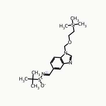 CC(C)(C)[S+]([O-])/N=C/c1ccc2c(c1)ncn2COCC[Si](C)(C)C